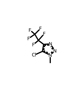 Cn1nnc(C(F)(F)C(F)(F)F)c1Cl